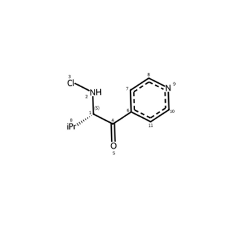 CC(C)[C@H](NCl)C(=O)c1ccncc1